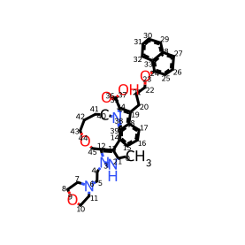 CC1NN(CCN2CCOCC2)C2=C1c1cccc3c(CCCOc4cccc5ccccc45)c(C(=O)O)n(c13)CCCCOC2